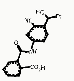 CCC(O)c1ccc(NC(=O)c2ccccc2C(=O)O)cc1C#N